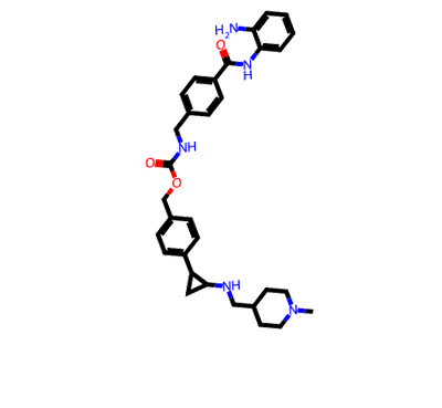 CN1CCC(CNC2CC2c2ccc(COC(=O)NCc3ccc(C(=O)Nc4ccccc4N)cc3)cc2)CC1